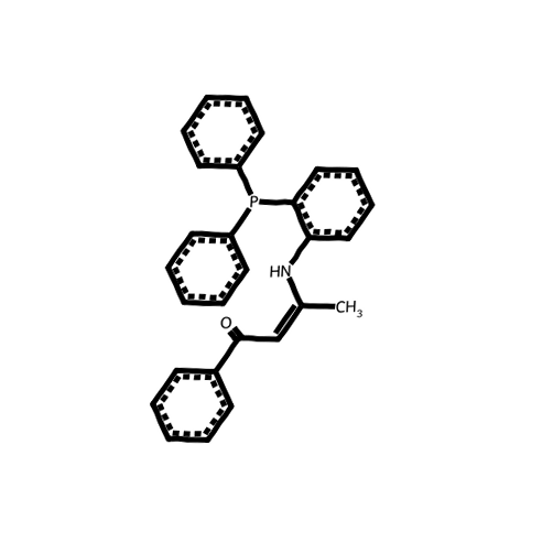 C/C(=C/C(=O)c1ccccc1)Nc1ccccc1P(c1ccccc1)c1ccccc1